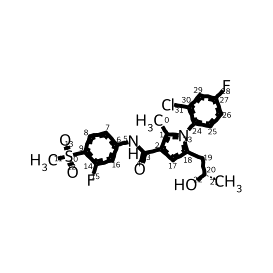 Cc1c(C(=O)Nc2ccc(S(C)(=O)=O)c(F)c2)cc(C[C@H](C)O)n1-c1ccc(F)cc1Cl